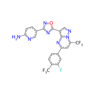 Nc1ccc(-c2noc(-c3cnn4c(C(F)(F)F)cc(-c5ccc(C(F)(F)F)c(F)c5)nc34)n2)cn1